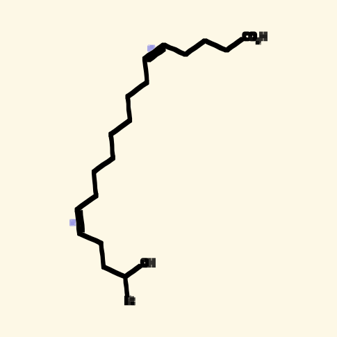 CCC(O)CC/C=C\CCCCCCC/C=C\CCCC(=O)O